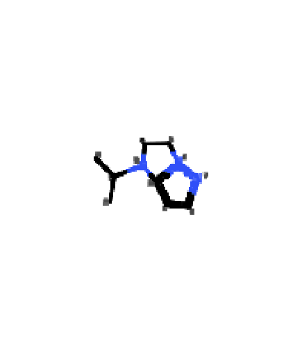 CC(C)N1CCn2nccc21